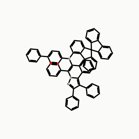 c1ccc(-c2ccc(N(c3cccc4c3-c3ccccc3C43c4ccccc4-c4ccccc43)c3c(-c4ccccc4)n4nc(-c5ccccc5)c(-c5ccccc5)c4c4ccccc34)cc2)cc1